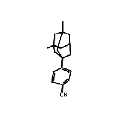 CC12CC3CC(C)(C1)CC(c1ccc(C#N)cc1)(C3)C2